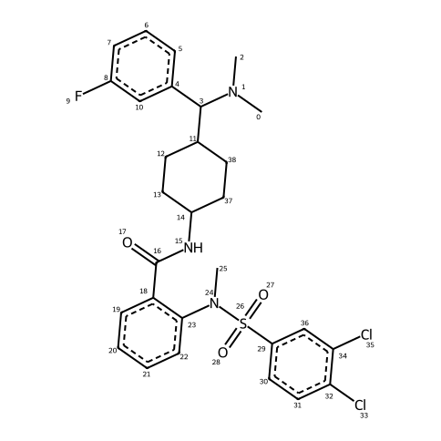 CN(C)C(c1cccc(F)c1)C1CCC(NC(=O)c2ccccc2N(C)S(=O)(=O)c2ccc(Cl)c(Cl)c2)CC1